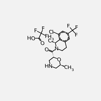 C[C@H]1CNC[C@H](C(=O)N2CCc3cc(C(F)(F)F)cc(Cl)c3[C@@H]2C)O1.O=C(O)C(F)(F)F